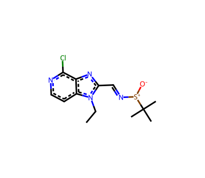 CCn1c(C=N[S+]([O-])C(C)(C)C)nc2c(Cl)nccc21